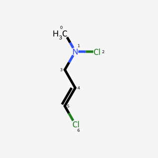 CN(Cl)CC=CCl